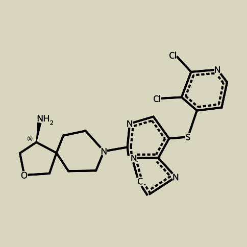 N[C@@H]1COCC12CCN(c1ncc(Sc3ccnc(Cl)c3Cl)c3nccn13)CC2